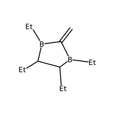 C=C1B(CC)C(CC)C(CC)B1CC